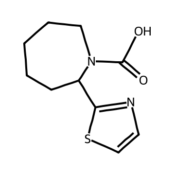 O=C(O)N1CCCCCC1c1nccs1